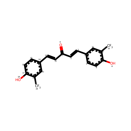 O=C(/C=C/c1ccc(O)c(C(F)(F)F)c1)/C=C/c1ccc(O)c(C(F)(F)F)c1